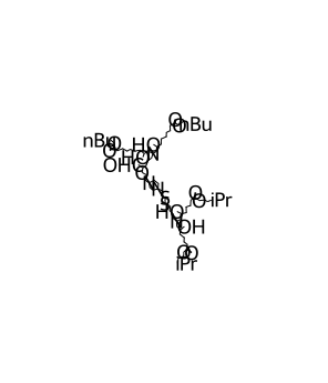 CCCCOC(=O)CCCCCCC(O)CN(CCCC(C=O)OCCN1CCN(CCSSCCCCN(CC(O)CCCCC(=O)OCCC(C)C)CC(O)CCCCC(=O)OCCC(C)C)CC1)CC(O)CCCCCCC(=O)OCCCC